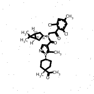 Cc1cc(Cl)c(C(=O)CN(C(=O)c2cnn([C@H]3CC[C@](C)(C(C)=O)CC3)c2C)[C@H]2C[C@@H]3[C@H](C2)C3(C)C)c(Cl)c1